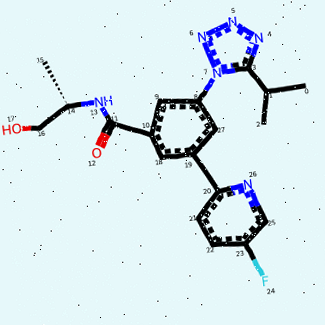 CC(C)c1nnnn1-c1cc(C(=O)N[C@@H](C)CO)cc(-c2ccc(F)cn2)c1